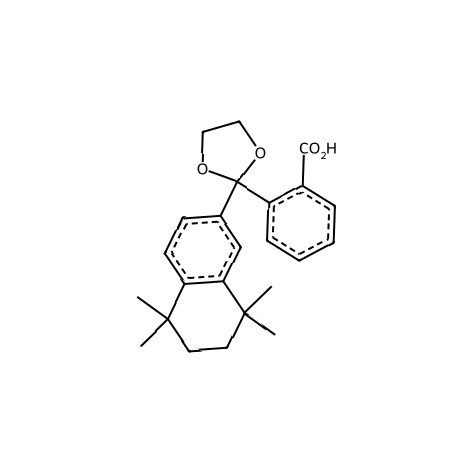 CC1(C)CCC(C)(C)c2cc(C3(c4ccccc4C(=O)O)OCCO3)ccc21